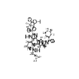 CC1(C(=O)O)COC(c2nc(-c3ccc(F)cc3)c(-c3ccnc(NCC4CC4)n3)[nH]2)OC1.NC(=O)c1ccccc1